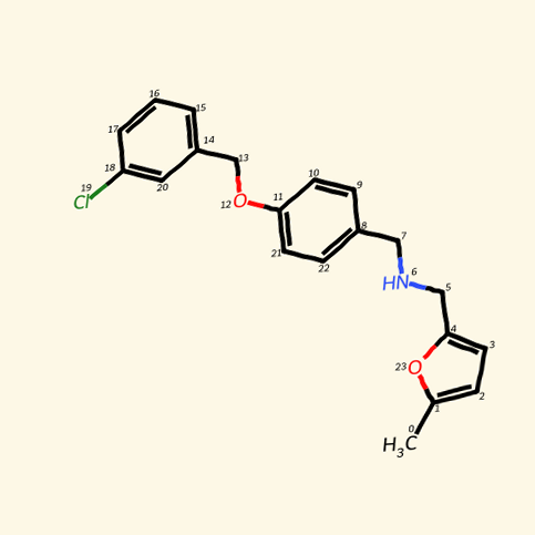 Cc1ccc(CNCc2ccc(OCc3cccc(Cl)c3)cc2)o1